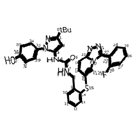 CC(C)(C)c1cc(NC(=O)NCc2ccccc2Sc2ccc3nnc(-c4ccccc4F)n3c2)n(-c2ccc(O)cc2)n1